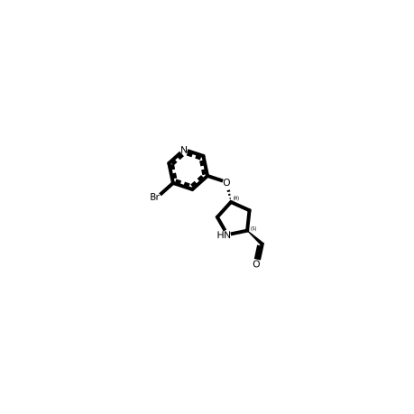 O=C[C@@H]1C[C@@H](Oc2cncc(Br)c2)CN1